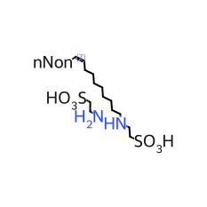 CCCCCCCCC/C=C\CCCCCCCCNCCS(=O)(=O)O.NCCS(=O)(=O)O